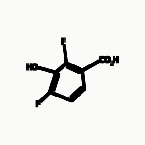 O=C(O)c1ccc(F)c(O)c1F